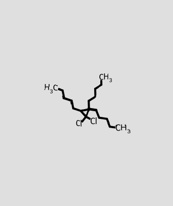 CCCCCC1C(Cl)(Cl)C1(CCCCC)CCCCC